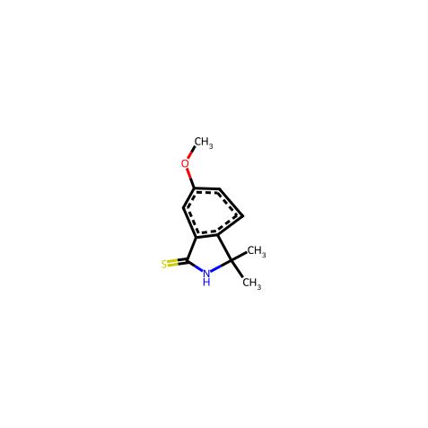 COc1ccc2c(c1)C(=S)NC2(C)C